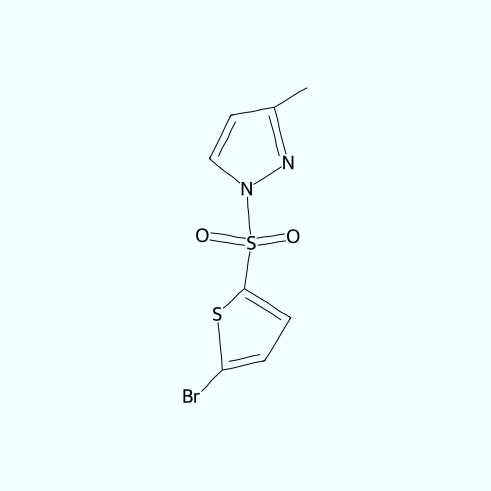 Cc1ccn(S(=O)(=O)c2ccc(Br)s2)n1